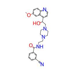 COc1ccc2nccc([C@H](O)CN3CCN(CCNC(=O)c4cccc(C#N)c4)CC3)c2c1